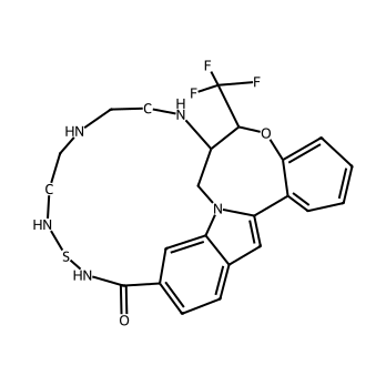 O=C1NSNCCNCCNC2Cn3c(cc4ccc1cc43)-c1ccccc1OC2C(F)(F)F